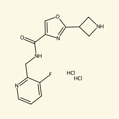 Cl.Cl.O=C(NCc1ncccc1F)c1coc(C2CNC2)n1